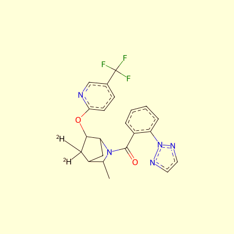 [2H]C1([2H])C2CC(C1Oc1ccc(C(F)(F)F)cn1)N(C(=O)c1ccccc1-n1nccn1)C2C